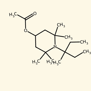 CCC(C)(CC)N1C(C)(C)CC(OC(C)=O)CC1(C)C